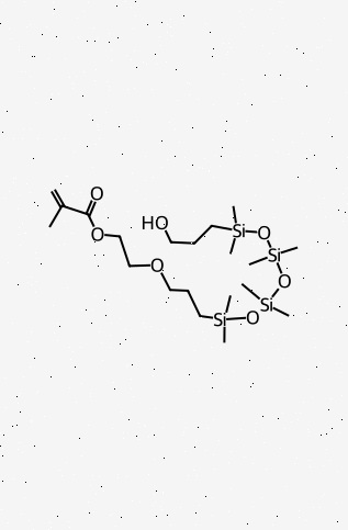 C=C(C)C(=O)OCCOCCC[Si](C)(C)O[Si](C)(C)O[Si](C)(C)O[Si](C)(C)CCCO